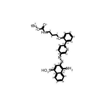 CC(C)(C)OC(=O)NCCCOc1ccccc1-c1ccc(/N=N/c2cc(S(=O)(=O)O)c3ccccc3c2N)cn1